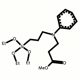 CCO[Si](CCCN(CCC(=O)OC)c1ccccc1)(OCC)OCC